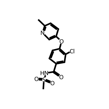 Cc1ccc(Oc2ccc(C(=O)NS(C)(=O)=O)cc2Cl)cn1